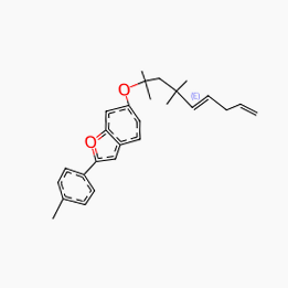 C=CC/C=C/C(C)(C)CC(C)(C)Oc1ccc2cc(-c3ccc(C)cc3)oc2c1